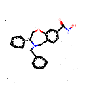 O=C(NO)c1ccc2c(c1)OC[C@@H](c1ccccc1)N(Cc1ccccc1)C2